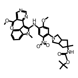 COC(=O)c1cncnc1-c1c(Nc2cc([N+](=O)[O-])c(N3CC4CC(C)(NC(=O)OC(C)(C)C)CC4C3)cc2OC)n(C)c2ccccc12